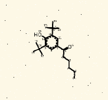 [CH2]CCCCC(=O)c1cc(C(C)(C)C)c(O)c(C(C)(C)C)c1